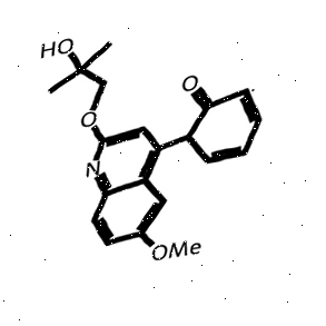 COc1ccc2nc(OCC(C)(C)O)cc(C3C=CC=[C]C3=O)c2c1